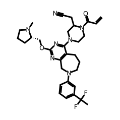 C=CC(=O)N1CCN(c2nc(OC[C@@H]3CCCN3C)nc3c2CCCN(c2cccc(C(C)(F)F)c2)C3)CC1CC#N